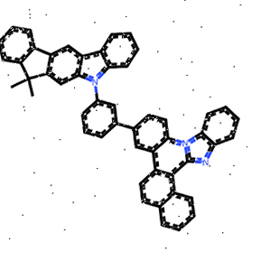 CC1(C)c2ccccc2-c2cc3c4ccccc4n(-c4cccc(-c5ccc6c(c5)c5ccc7ccccc7c5c5nc7ccccc7n65)c4)c3cc21